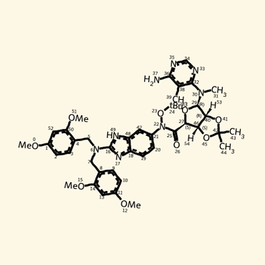 COc1ccc(CN(Cc2ccc(OC)cc2OC)c2nc3ccc(N(OC(C)(C)C)C(=O)[C@H]4O[C@@H](N(C)c5ncnc(N)c5C)[C@@H]5OC(C)(C)O[C@@H]54)cc3[nH]2)c(OC)c1